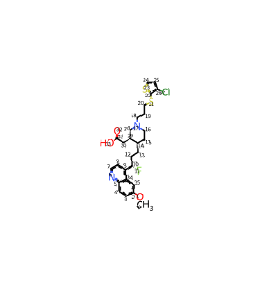 COc1ccc2nccc([C@@H](F)CC[C@@H]3CCN(CCCSc4sccc4Cl)C[C@@H]3CC(=O)O)c2c1